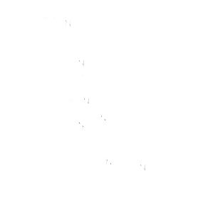 CNC1CCN(C(=O)c2ccccc2Nc2ncc3c(n2)-c2ccc(Cl)cc2C(c2ccccn2)=NC3)CC1